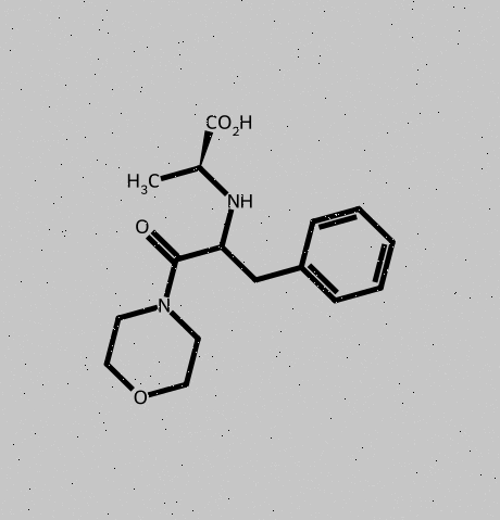 C[C@H](NC(Cc1ccccc1)C(=O)N1CCOCC1)C(=O)O